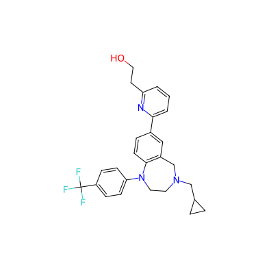 OCCc1cccc(-c2ccc3c(c2)CN(CC2CC2)CCN3c2ccc(C(F)(F)F)cc2)n1